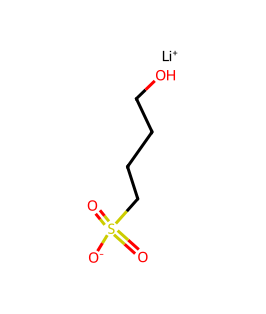 O=S(=O)([O-])CCCCO.[Li+]